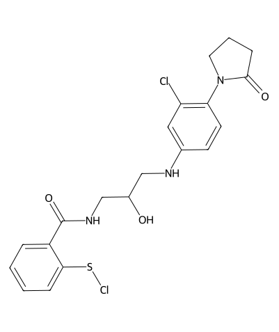 O=C(NCC(O)CNc1ccc(N2CCCC2=O)c(Cl)c1)c1ccccc1SCl